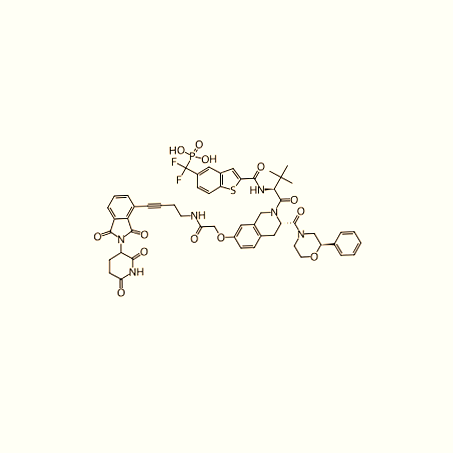 CC(C)(C)[C@H](NC(=O)c1cc2cc(C(F)(F)P(=O)(O)O)ccc2s1)C(=O)N1Cc2cc(OCC(=O)NCCC#Cc3cccc4c3C(=O)N(C3CCC(=O)NC3=O)C4=O)ccc2C[C@H]1C(=O)N1CCO[C@H](c2ccccc2)C1